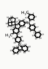 Cc1cccc(N(c2ccc(-c3ccccc3)cc2)c2ccc3c(c2)-c2cc(-c4ccc(-n5c6ccccc6c6ccccc65)cc4)c(C)cc2C32C3CC4CC5CC2C53C4)c1